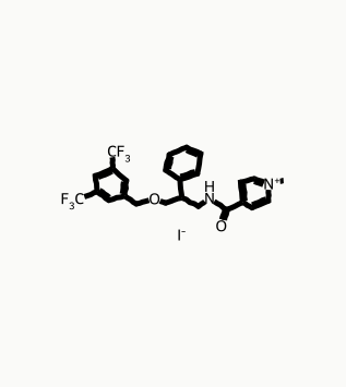 C[n+]1ccc(C(=O)NCC(COCc2cc(C(F)(F)F)cc(C(F)(F)F)c2)c2ccccc2)cc1.[I-]